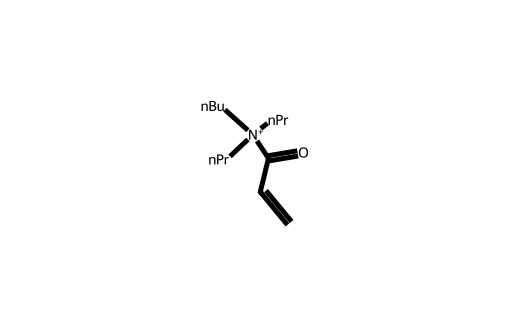 C=CC(=O)[N+](CCC)(CCC)CCCC